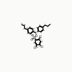 CCCc1ccc([I+](OS(=O)(=O)c2cc(Cl)c(Cl)cc2Cl)c2ccc(CCC)cc2)cc1